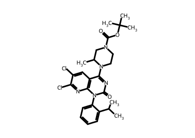 CC(C)c1ccccc1-n1c(=O)nc(N2CCN(C(=O)OC(C)(C)C)CC2C)c2cc(Cl)c(Cl)nc21